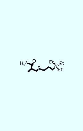 CC[N+](CC)(CC)CCCSCC(C)C(N)=O